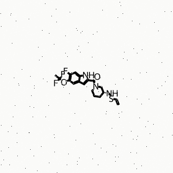 C=CSN[C@@H]1CCCN(C(=O)c2cc3cc(OC(C)(F)F)c(F)cc3[nH]2)C1